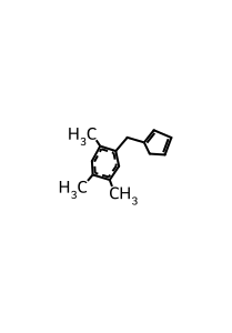 Cc1cc(C)c(CC2=CC=CC2)cc1C